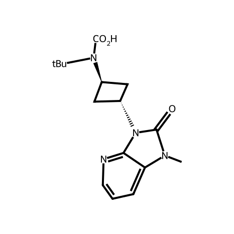 Cn1c(=O)n([C@H]2C[C@H](N(C(=O)O)C(C)(C)C)C2)c2ncccc21